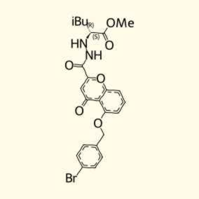 CC[C@@H](C)[C@H](NNC(=O)c1cc(=O)c2c(OCc3ccc(Br)cc3)cccc2o1)C(=O)OC